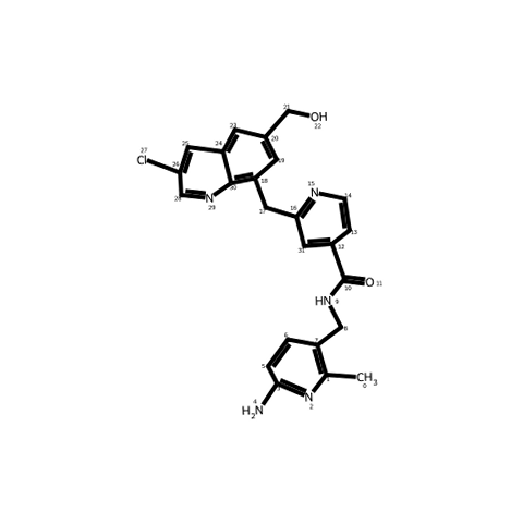 Cc1nc(N)ccc1CNC(=O)c1ccnc(Cc2cc(CO)cc3cc(Cl)cnc23)c1